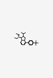 CC[SiH](CC)C1C2C=CC=C(c3ccc(C(C)(C)C)cc3)C2CC1C(C)C